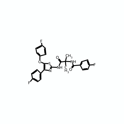 CC(C)(NC(=O)c1ccc(F)cc1)C(=O)Nc1nc(-c2ccc(F)cc2)c(Oc2ccc(F)cc2)s1